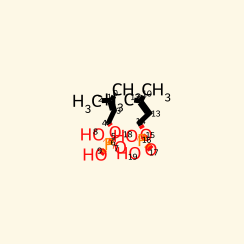 CC(C)=CCOP(=O)(O)O.CC(C)=CCOP(=O)(O)O